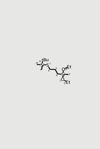 CCO[Si](C)(CCCS[Si](C)(C)C(C)(C)C)OCC